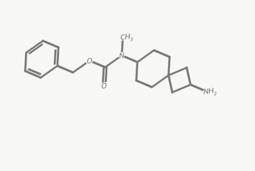 CN(C(=O)OCc1ccccc1)C1CCC2(CC1)CC(N)C2